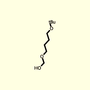 CC(C)(C)OCCCCOCO